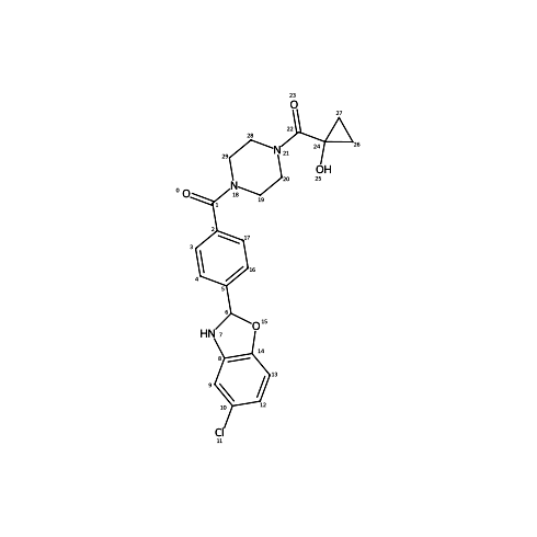 O=C(c1ccc(C2Nc3cc(Cl)ccc3O2)cc1)N1CCN(C(=O)C2(O)CC2)CC1